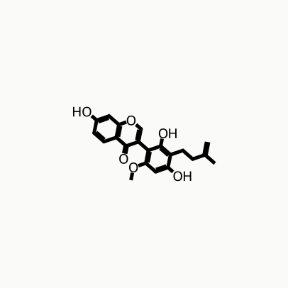 C=C(C)CCc1c(O)cc(OC)c(-c2coc3cc(O)ccc3c2=O)c1O